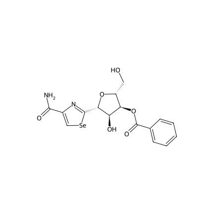 NC(=O)c1c[se]c([C@@H]2O[C@H](CO)[C@@H](OC(=O)c3ccccc3)[C@H]2O)n1